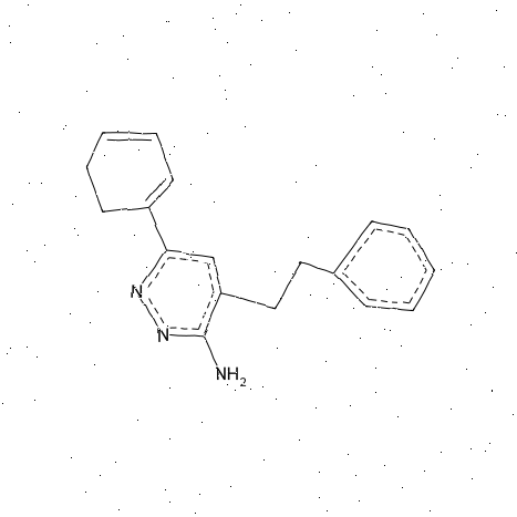 Nc1nnc(C2=CC=CCC2)cc1CCc1ccccc1